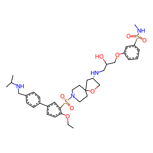 CCOc1ccc(-c2ccc(CNC(C)C)cc2)cc1S(=O)(=O)N1CCC2(CC1)C[C@H](NCC(O)COc1cccc(S(=O)(=O)NC)c1)CO2